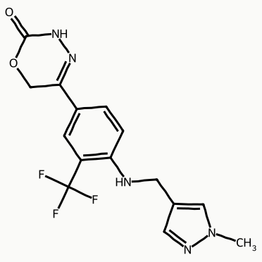 Cn1cc(CNc2ccc(C3=NNC(=O)OC3)cc2C(F)(F)F)cn1